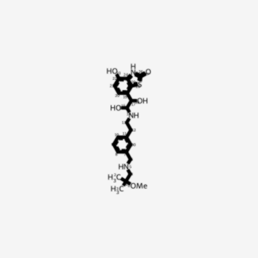 COC(C)(C)CNCc1cccc(CCNC(O)C(O)c2ccc(O)c3[nH]c(=O)sc23)c1